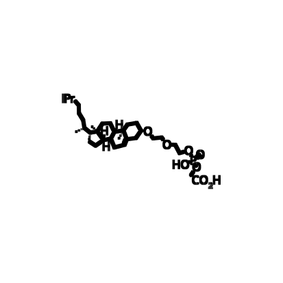 CC(C)CCC[C@@H](C)[C@H]1CC[C@H]2[C@@H]3CC=C4C[C@@H](OCCOCCOP(=O)(O)OCC(=O)O)CC[C@]4(C)[C@H]3CC[C@]12C